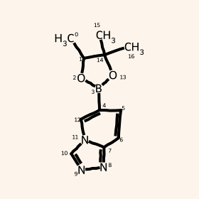 CC1OB(c2ccc3nncn3c2)OC1(C)C